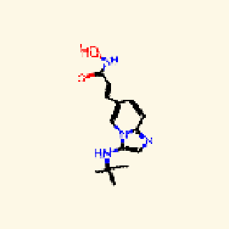 CC(C)(C)Nc1cnc2ccc(/C=C/C(=O)NO)cn12